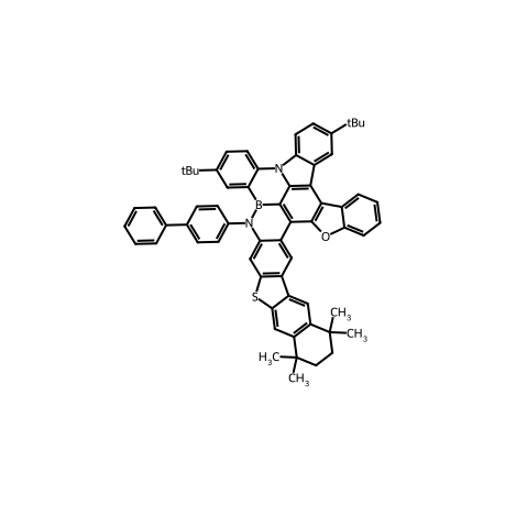 CC(C)(C)c1ccc2c(c1)B1c3c(c4oc5ccccc5c4c4c5cc(C(C)(C)C)ccc5n-2c34)-c2cc3c(cc2N1c1ccc(-c2ccccc2)cc1)sc1cc2c(cc13)C(C)(C)CCC2(C)C